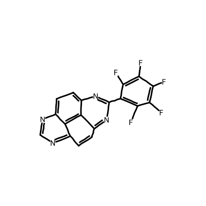 Fc1c(F)c(F)c(-c2nc3ccc4ncnc5ccc(n2)c3c45)c(F)c1F